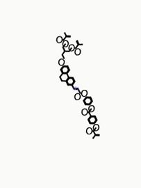 C=C(C)C(=O)OCC(CCOc1ccc2c(c1)CCc1cc(/C=C/C(=O)Oc3ccc(OC(=O)c4ccc(OC(=O)C(=C)C)cc4)cc3)ccc1-2)COC(=O)C(=C)C